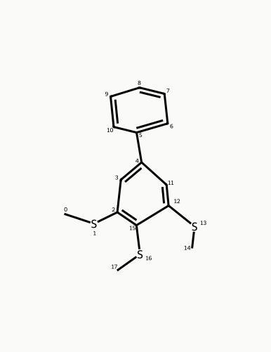 CSc1cc(-c2ccccc2)cc(SC)c1SC